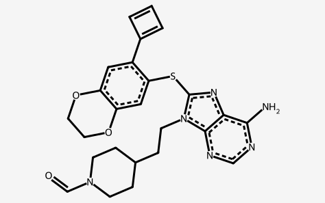 Nc1ncnc2c1nc(Sc1cc3c(cc1C1=CC=C1)OCCO3)n2CCC1CCN(C=O)CC1